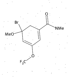 CNC(=O)C1=CC(OC(F)(F)F)=CC(Br)(OC)C1